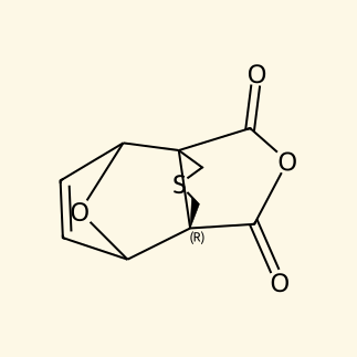 O=C1OC(=O)[C@@]23CSCC12C1C=CC3O1